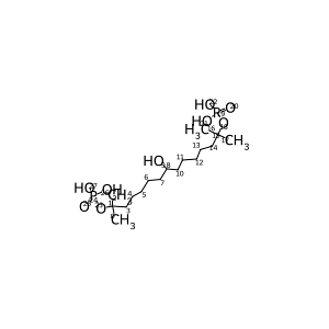 CC(C)(CCCCCC(O)CCCCCC(C)(C)OP(=O)(O)O)OP(=O)(O)O